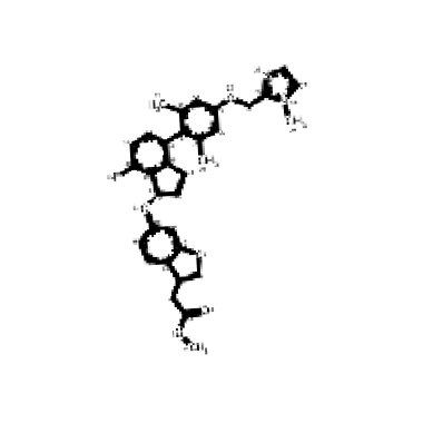 COC(=O)CC1COc2cc(O[C@@H]3CCc4c(-c5c(C)cc(OCc6nccn6C)cc5C)ccc(F)c43)ccc21